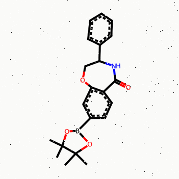 CC1(C)OB(c2ccc3c(c2)OCC(c2ccccc2)NC3=O)OC1(C)C